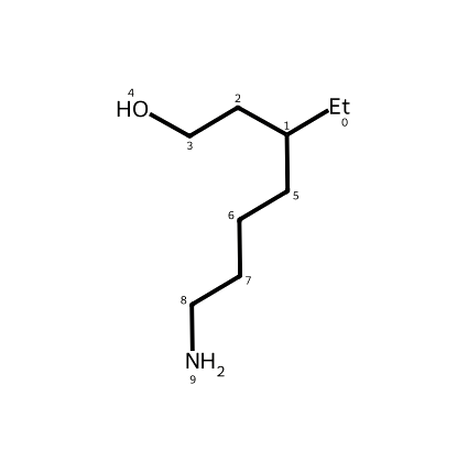 CCC(CCO)CCCCN